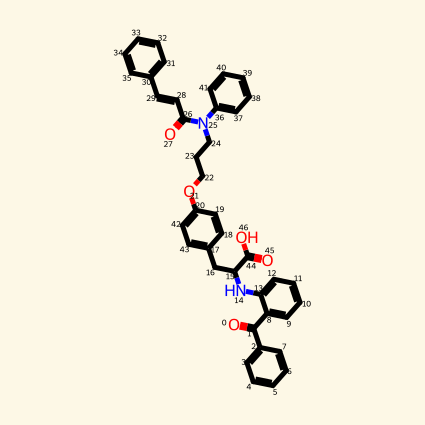 O=C(c1ccccc1)c1ccccc1NC(Cc1ccc(OCCCN(C(=O)C=Cc2ccccc2)c2ccccc2)cc1)C(=O)O